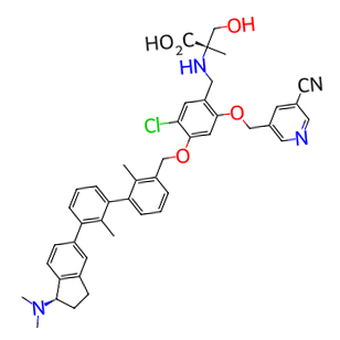 Cc1c(COc2cc(OCc3cncc(C#N)c3)c(CN[C@@](C)(CO)C(=O)O)cc2Cl)cccc1-c1cccc(-c2ccc3c(c2)CC[C@H]3N(C)C)c1C